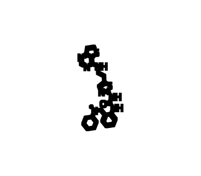 CN(Cc1ccccc1NC(=O)Nc1ncc(CCNc2ncnc3ccsc23)s1)C1CCCCC1